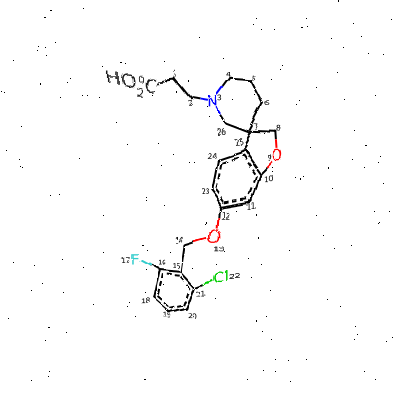 O=C(O)CCN1CCCC2(COc3cc(OCc4c(F)cccc4Cl)ccc32)C1